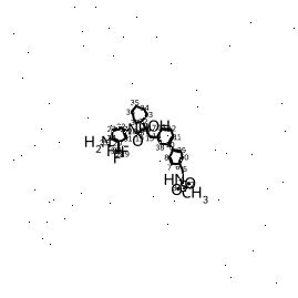 CS(=O)(=O)NCc1ccc(-c2cccc(CC(O)(C(=O)Nc3ccc(N)c(C(F)(F)F)c3)C3CCCCC3)c2)cc1